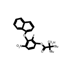 CC(C)(C)C(C(=O)O)(C(=O)Oc1ccc([N+](=O)[O-])c(Oc2cccc3ccccc23)c1F)C(C)(C)C